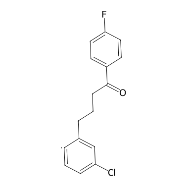 O=C(CCCc1[c]ccc(Cl)c1)c1ccc(F)cc1